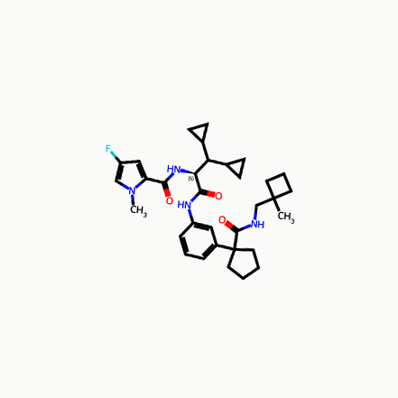 Cn1cc(F)cc1C(=O)N[C@H](C(=O)Nc1cccc(C2(C(=O)NCC3(C)CCC3)CCCC2)c1)C(C1CC1)C1CC1